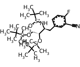 CC(C)(C)[S+]([O-])N[C@@H](Cc1ccc(F)c(C#N)c1)[C@@H](CO[Si](C)(C)C(C)(C)C)O[Si](C)(C)C(C)(C)C